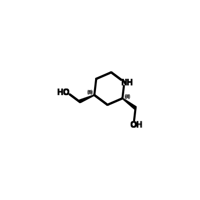 OC[C@H]1CCN[C@@H](CO)C1